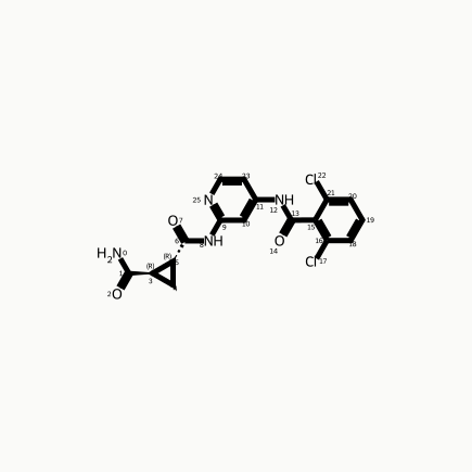 NC(=O)[C@@H]1C[C@H]1C(=O)Nc1cc(NC(=O)c2c(Cl)cccc2Cl)ccn1